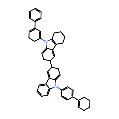 C1=C(c2ccccc2)C=C(n2c3c(c4c2=CCC(C2C=c5c(n(-c6ccc(C7=CCCCC7)cc6)c6ccccc56)=CC2)C=4)CCCC3)CC1